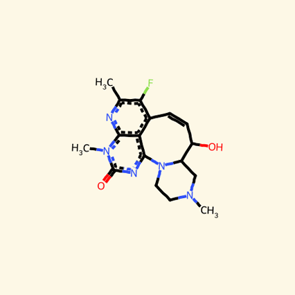 Cc1nc2c3c(nc(=O)n2C)N2CCN(C)CC2C(O)/C=C\c3c1F